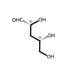 O=C[C@H](O)C[C@H](O)CO